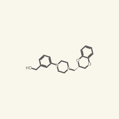 OCc1cccc(N2CCN(C[C@H]3COc4ccccc4O3)CC2)c1